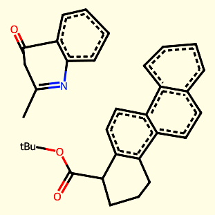 CC(C)(C)OC(=O)C1CCCc2c1ccc1c2ccc2ccccc21.CC1=Nc2ccccc2C(=O)C1